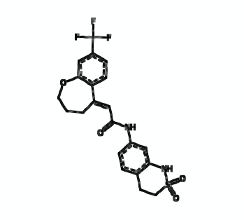 O=C(C=C1CCCOc2cc(C(F)(F)F)ccc21)Nc1ccc2c(c1)NS(=O)(=O)CC2